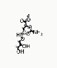 COC(=O)C(COPOCC(O)CO)OC(N)=O